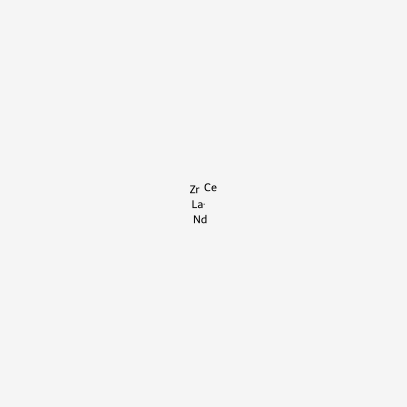 [Ce].[La].[Nd].[Zr]